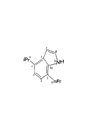 CCCc1ccc(C(C)C)c2cc[nH]c12